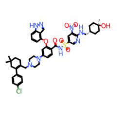 CC1(C)CCC(CN2CCN(c3ccc(C(=O)NS(=O)(=O)c4cnc(NC[C@H]5CC[C@](C)(O)CC5)c([N+](=O)[O-])c4)c(Oc4cccc5[nH]ncc45)c3)CC2)=C(c2ccc(Cl)cc2)C1